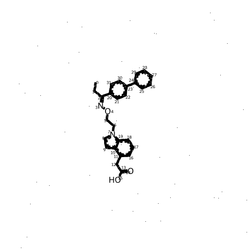 CCC(=NOCCn1ccc2c(CC(=O)O)cccc21)c1ccc(-c2ccccc2)cc1